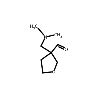 CN(C)CC1(C=O)CCOC1